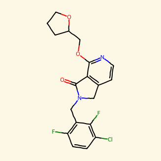 O=C1c2c(ccnc2OCC2CCCO2)CN1Cc1c(F)ccc(Cl)c1F